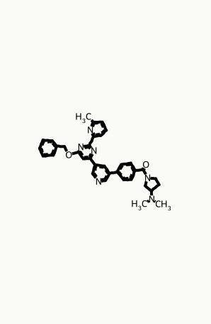 Cc1cccc(-c2nc(OCc3ccccc3)cc(-c3cncc(-c4ccc(C(=O)N5CCC(N(C)C)C5)cc4)c3)n2)n1